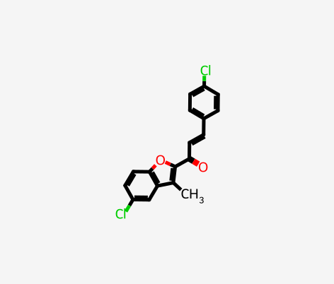 Cc1c(C(=O)C=Cc2ccc(Cl)cc2)oc2ccc(Cl)cc12